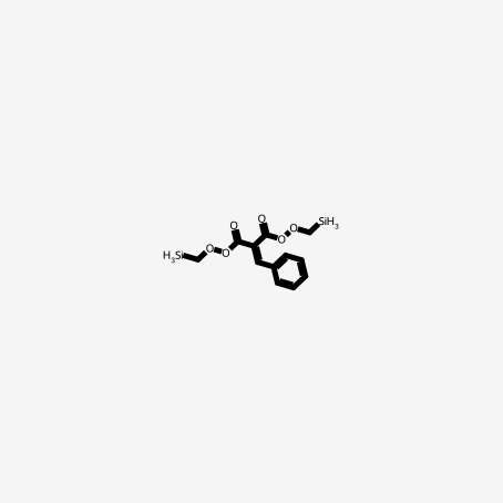 O=C(OOC[SiH3])C(=Cc1ccccc1)C(=O)OOC[SiH3]